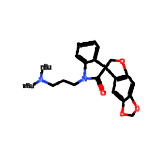 CCCCN(CCCC)CCCN1C(=O)C2(COc3cc4c(cc32)OCO4)c2ccccc21